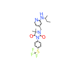 CCC(C)Nc1cc(CN2C(=O)N(c3ccc(SC(F)(F)F)cc3)C(=O)C2(C)C)ccn1